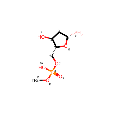 B[C@H]1C[C@H](O)[C@@H](COP(=O)(O)OC(C)(C)C)O1